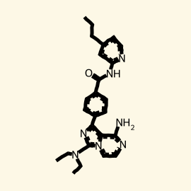 CCCc1ccnc(NC(=O)c2ccc(-c3nc(N(CC)CC)n4ccnc(N)c34)cc2)c1